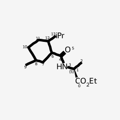 CCOC(=O)[C@H](C)NC(=O)C1CC(C)CCC1C(C)C